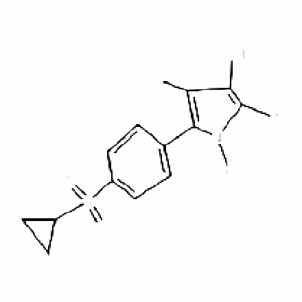 CC(=O)c1c(C)c(C)c(-c2ccc(S(=O)(=O)C3CC3)cc2)n1C